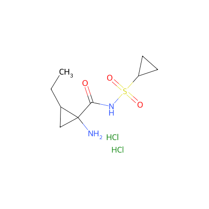 CCC1CC1(N)C(=O)NS(=O)(=O)C1CC1.Cl.Cl